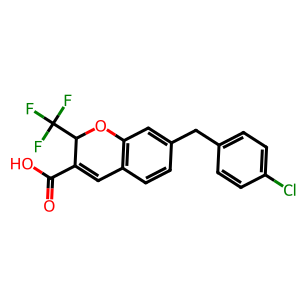 O=C(O)C1=Cc2ccc(Cc3ccc(Cl)cc3)cc2OC1C(F)(F)F